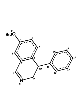 CC(C)COc1ccc2c(c1)C=NCC2c1ccccc1